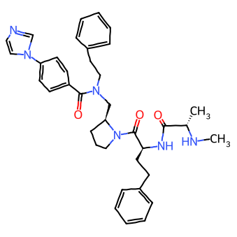 CN[C@@H](C)C(=O)N[C@@H](CCc1ccccc1)C(=O)N1CCC[C@H]1CN(CCc1ccccc1)C(=O)c1ccc(-n2ccnc2)cc1